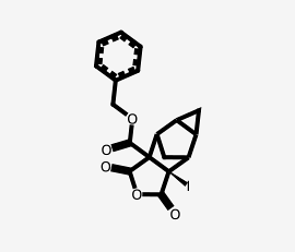 O=C(OCc1ccccc1)C12C(=O)OC(=O)[C@@]1(I)C1CC2C2CC21